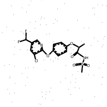 CC(Oc1ccc(Oc2ncc(C(F)F)cc2Cl)cc1)C(=O)NS(C)(=O)=O